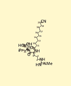 CNC(=N)NCCC[C@H](NC(=O)CCCCCCCCCCC#N)C(=O)N[C@@H](CC(C)C)B(O)O